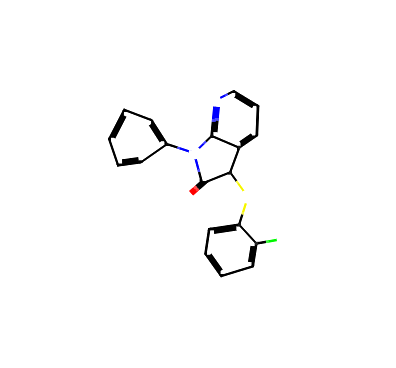 O=C1C(Sc2ccccc2Cl)c2cccnc2N1c1ccccc1